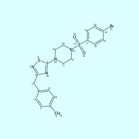 Cc1ccc(Cc2nsc(N3CCN(S(=O)(=O)c4ccc(Br)cc4)CC3)n2)cc1